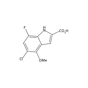 COc1c(Cl)cc(F)c2[nH]c(C(=O)O)cc12